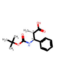 C[C@H](C(=O)O)[C@H](NC(=O)OC(C)(C)C)c1ccccc1